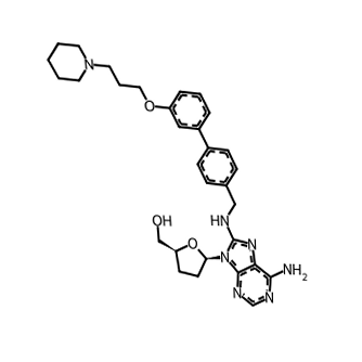 Nc1ncnc2c1nc(NCc1ccc(-c3cccc(OCCCN4CCCCC4)c3)cc1)n2[C@H]1CC[C@@H](CO)O1